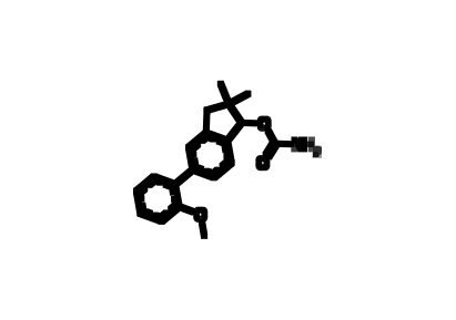 COc1ccccc1-c1ccc2c(c1)CC(C)(C)C2OC(N)=O